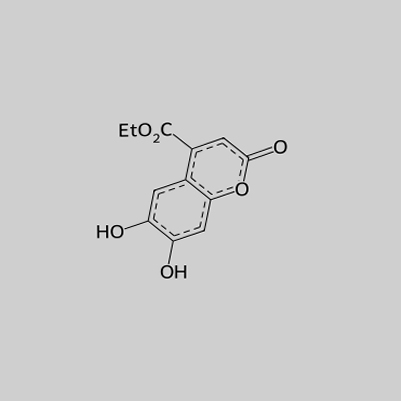 CCOC(=O)c1cc(=O)oc2cc(O)c(O)cc12